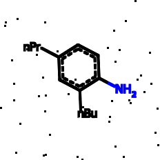 CCCCc1cc(CCC)ccc1N